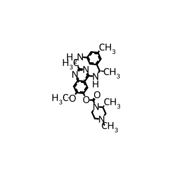 COc1cc2nc(C)nc(N[C@H](C)c3cc(C)cc(N)c3)c2cc1OC(=O)N1CCN(C)C[C@@H]1C